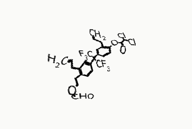 C=CCc1cc(C(c2ccc(OC(=O)C(Cl)Cl)c(CC=C)c2)(C(F)(F)F)C(F)(F)F)ccc1CCOC=O